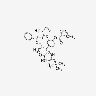 CC(C)C(=O)Oc1ccc(C(C(C)COC(=O)c2ccccc2)[C@H](NC(=O)OC(C)(C)C)C(=O)O)cc1OC(=O)C(C)C